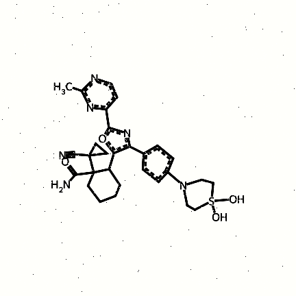 Cc1nccc(-c2nc(-c3ccc(N4CCS(O)(O)CC4)cc3)c(C3CCCCC3(C(N)=O)C3(C#N)CC3)o2)n1